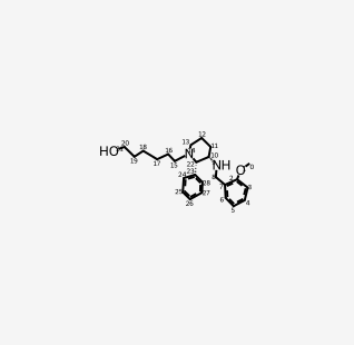 COc1ccccc1CN[C@H]1CCCN(CCCCCCO)[C@H]1c1ccccc1